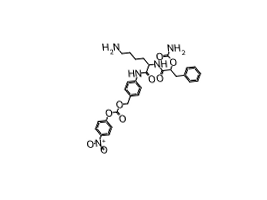 NCCCCC(NC(=O)C(Cc1ccccc1)OC(N)=O)C(=O)Nc1ccc(COC(=O)Oc2ccc([N+](=O)[O-])cc2)cc1